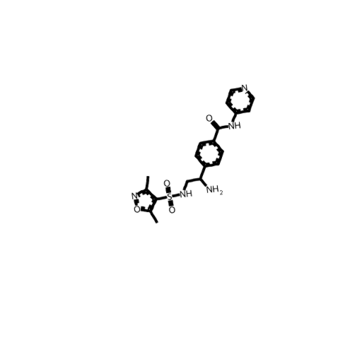 Cc1noc(C)c1S(=O)(=O)NCC(N)c1ccc(C(=O)Nc2ccncc2)cc1